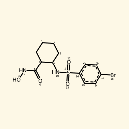 O=C(NO)C1CCCCC1NS(=O)(=O)c1ccc(Br)cc1